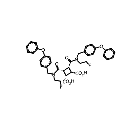 O=C(O)[C@H]1[C@H](C(=O)O)[C@H](C(=O)N(CCF)Cc2ccc(Oc3ccccc3)cc2)[C@H]1C(=O)N(CCF)Cc1ccc(Oc2ccccc2)cc1